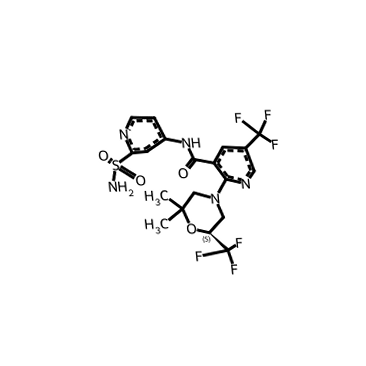 CC1(C)CN(c2ncc(C(F)(F)F)cc2C(=O)Nc2ccnc(S(N)(=O)=O)c2)C[C@@H](C(F)(F)F)O1